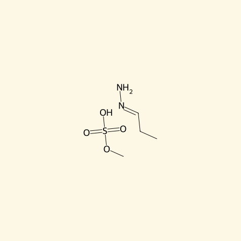 CCC=NN.COS(=O)(=O)O